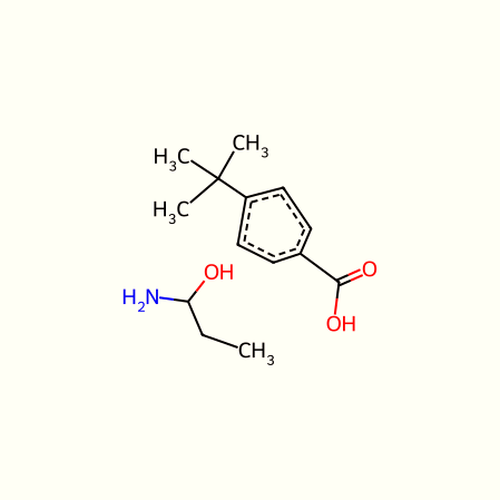 CC(C)(C)c1ccc(C(=O)O)cc1.CCC(N)O